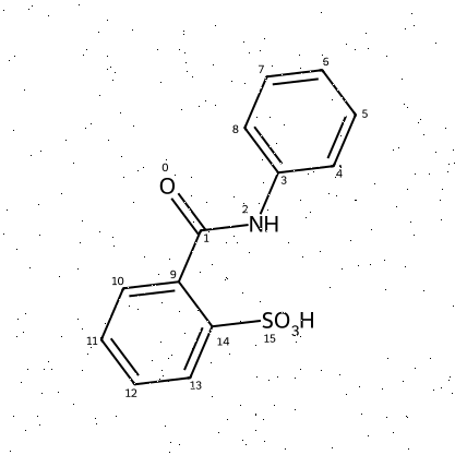 O=C(Nc1[c]cccc1)c1ccccc1S(=O)(=O)O